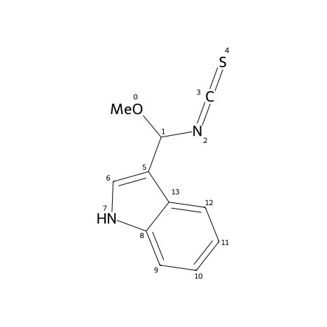 COC(N=C=S)c1c[nH]c2ccccc12